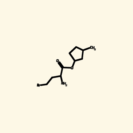 CC1CCC(OC(=O)C(N)CCBr)C1